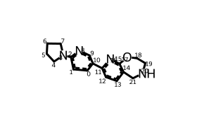 c1cc(N2CCCC2)ncc1-c1ccc2c(n1)OCCNC2